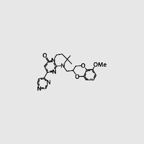 COc1cccc2c1OCC(CN1c3nc(-c4ccncn4)cc(=O)n3CCC1(C)C)O2